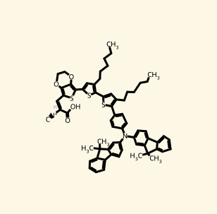 [C-]#[N+]/C(=C/c1sc(-c2cc(CCCCCC)c(-c3cc(CCCCCC)c(-c4ccc(N(c5ccc6c(c5)C(C)(C)c5ccccc5-6)c5ccc6c(c5)C(C)(C)c5ccccc5-6)cc4)s3)s2)c2c1OCCO2)C(=O)O